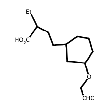 CCC(CCC1CCCC(OCC=O)C1)C(=O)O